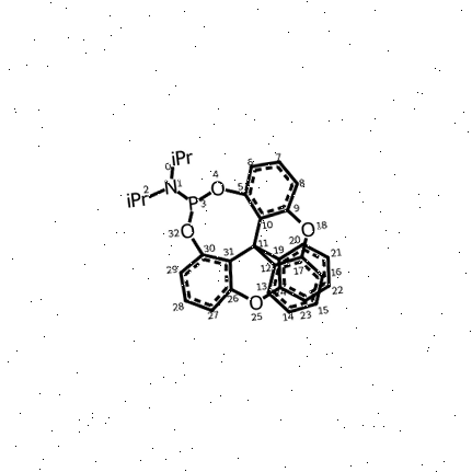 CC(C)N(C(C)C)P1Oc2cccc3c2C2(c4ccccc4O3)c3ccccc3Oc3cccc(c32)O1